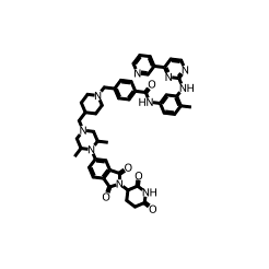 Cc1ccc(NC(=O)c2ccc(CN3CCC(CN4CC(C)N(c5ccc6c(c5)C(=O)N(C5CCC(=O)NC5=O)C6=O)C(C)C4)CC3)cc2)cc1Nc1nccc(-c2cccnc2)n1